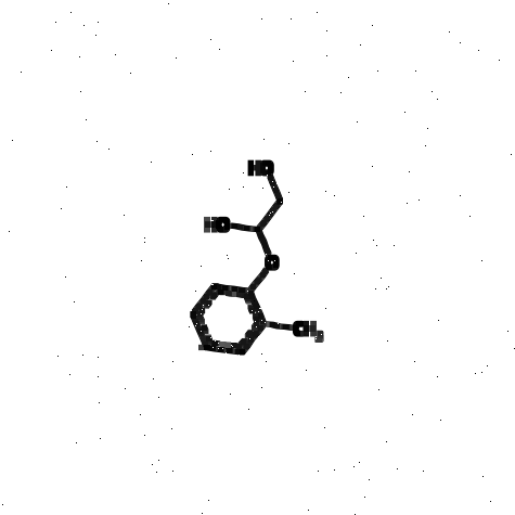 Cc1c[c]ccc1OC(O)CO